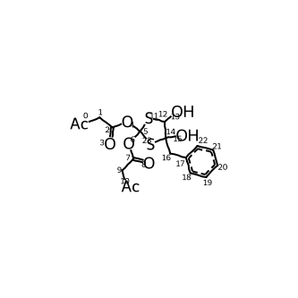 CC(=O)CC(=O)OC1(OC(=O)CC(C)=O)SC(O)C(O)(Cc2ccccc2)S1